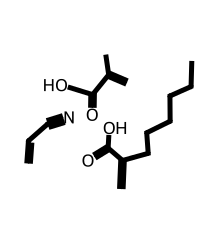 C=C(C)C(=O)O.C=C(CCCCCC)C(=O)O.C=CC#N